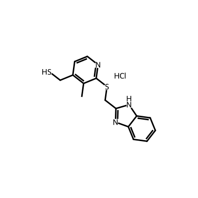 Cc1c(CS)ccnc1SCc1nc2ccccc2[nH]1.Cl